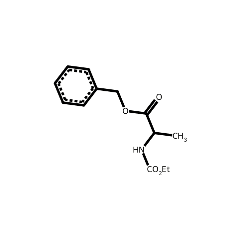 CCOC(=O)NC(C)C(=O)OCc1ccccc1